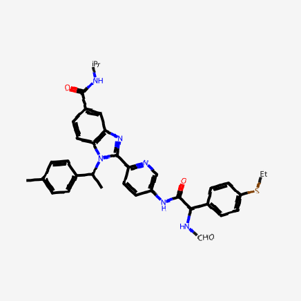 CCSc1ccc(C(NC=O)C(=O)Nc2ccc(-c3nc4cc(C(=O)NC(C)C)ccc4n3C(C)c3ccc(C)cc3)nc2)cc1